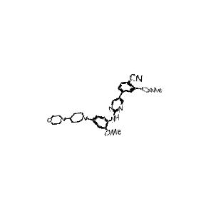 COc1cc(-c2cnc(Nc3ccc(N4CCC(N5CCOCC5)CC4)cc3OC)nc2)ccc1C#N